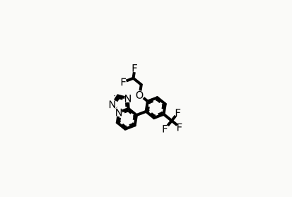 FC(F)COc1ccc(C(F)(F)F)cc1-c1cccn2n[c]nc12